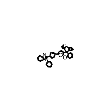 c1ccc(-n2c(-c3ccc(-c4ccc5c(c4)Oc4ccccc4C54c5ccccc5-c5ccccc54)cc3)nc3ccccc32)cc1